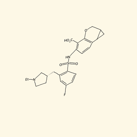 CCN1CC[C@@H](Cc2cc(F)ccc2S(=O)(=O)Nc2ccc3c(c2C(=O)O)OCC2CC32)C1